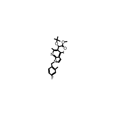 COC(=O)C(OC(C)(C)C)c1c(C)nc2c(ccn2Cc2ccc(F)cc2C)c1I